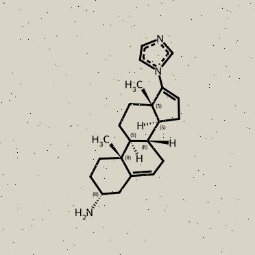 C[C@]12CC[C@@H](N)CC1=CC[C@@H]1[C@@H]2CC[C@]2(C)C(n3ccnc3)=CC[C@@H]12